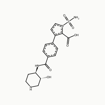 NS(=O)(=O)n1ccc(-c2ccc(C(=O)N[C@@H]3CCNC[C@H]3O)cc2)c1C(=O)O